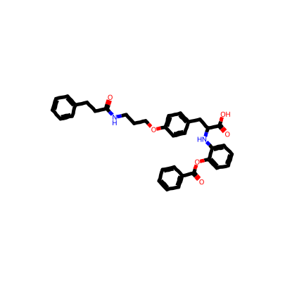 O=C(CCc1ccccc1)NCCCOc1ccc(CC(Nc2ccccc2OC(=O)c2ccccc2)C(=O)O)cc1